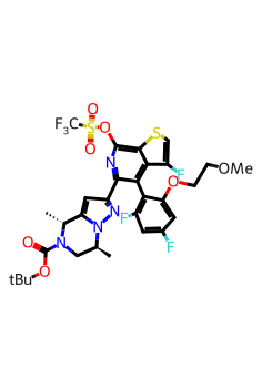 COCCOc1cc(F)cc(F)c1-c1c(-c2cc3n(n2)[C@@H](C)CN(C(=O)OC(C)(C)C)[C@@H]3C)nc(OS(=O)(=O)C(F)(F)F)c2scc(F)c12